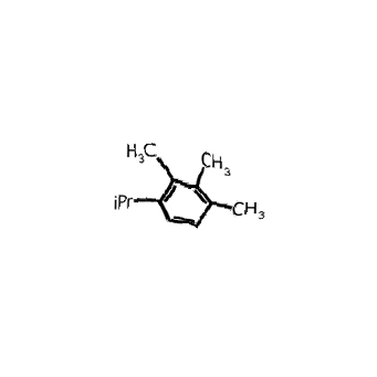 Cc1ccc(C(C)C)c(C)c1C